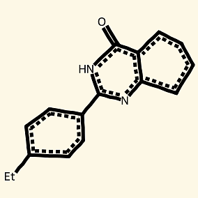 CCc1ccc(-c2nc3ccccc3c(=O)[nH]2)cc1